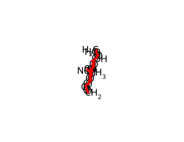 C=CC(=O)OCCOC(=O)CCC(=O)OCCc1ccc(OC(=O)C2CCC(C(=O)Oc3c(C)cc(OC(=O)C4CCC(C(=O)Oc5ccc(CCOC(O)CCC(=O)OCCOC(O)C=C)cc5)CC4)c4c3SC(=C(C#N)C#N)S4)CC2)cc1